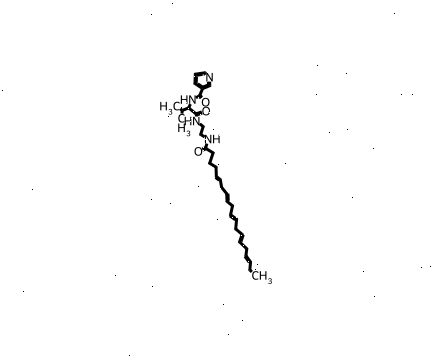 CCC=CCC=CCC=CCC=CCC=CCCCC(=O)NCCNC(=O)C(NC(=O)c1cccnc1)C(C)C